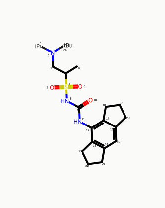 CC(C)N(CC(C)S(=O)(=O)NC(=O)Nc1c2c(cc3c1CCC3)CCC2)C(C)(C)C